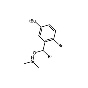 C[SiH](C)OC(Br)c1cc(C(C)(C)C)ccc1Br